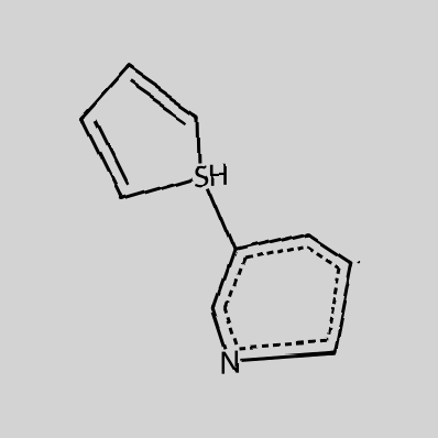 [c]1cncc([SH]2C=CC=C2)c1